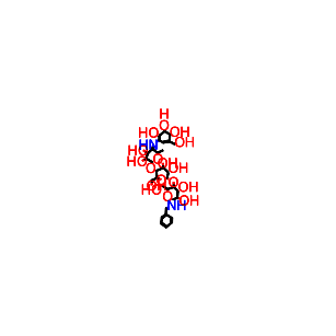 CC1OC(OC2C(CO)OC(OC3C(CO)OC(NCc4ccccc4)C(O)C3O)C(O)C2O)C(O)C(O)C1NC1C=C(CO)C(O)C(O)C1O